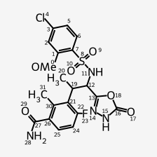 COc1cc(Cl)ccc1S(=O)(=O)NC(c1n[nH]c(=O)o1)C(C)c1c(F)ccc(C(N)=O)c1C